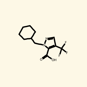 O=C(O)c1c(C(F)(F)F)cnn1CC1CCCCC1